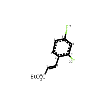 CCOC(=O)/C=C/c1ccc(F)cc1F